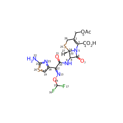 CC(=O)OCC1=C(C(=O)O)N2C(=O)C(NC(=O)C(=NOC(F)F)c3csc(N)n3)[C@@H]2SC1